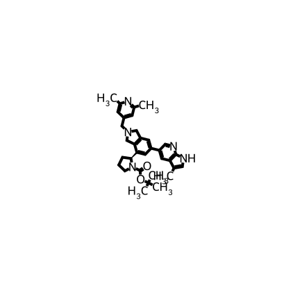 Cc1cc(CN2Cc3cc(-c4cnc5[nH]cc(C)c5c4)cc([C@@H]4CCCN4C(=O)OC(C)(C)C)c3C2)cc(C)n1